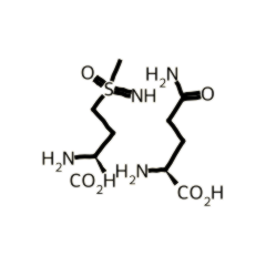 CS(=N)(=O)CC[C@H](N)C(=O)O.NC(=O)CC[C@H](N)C(=O)O